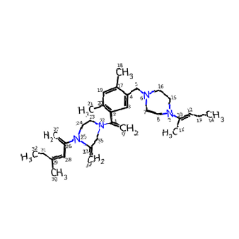 C=C(c1cc(CN2CCN(/C(C)=C/CC)CC2)c(C)cc1C)N1CCN(C(=C)/C=C(/C)CC)C(=C)C1